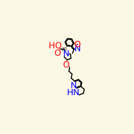 Cc1noc2cccc([C@@H](C(=O)O)N3CCC(OCCCCc4ccc5c(n4)NCCC5)C3)c12